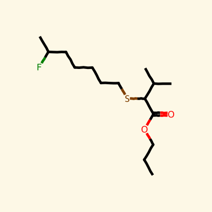 CCCOC(=O)C(SCCCCCC(C)F)C(C)C